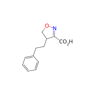 O=C(O)C1=NOCC1CCc1ccccc1